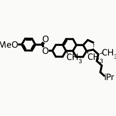 COc1ccc(C(=O)OC2CC[C@@]3(C)C(=CCC4C3CC[C@@]3(C)C4CC[C@@H]3[C@H](C)CCCC(C)C)C2)cc1